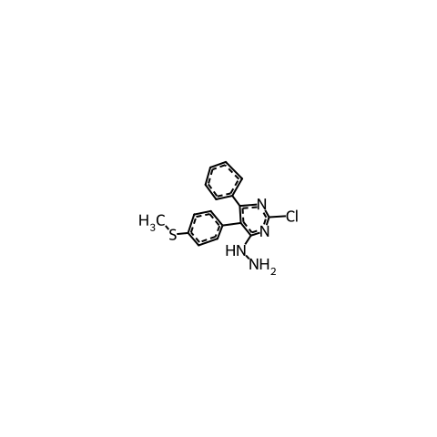 CSc1ccc(-c2c(NN)nc(Cl)nc2-c2ccccc2)cc1